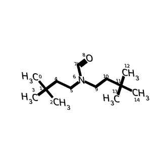 CC(C)(C)CCN([C]=O)CCC(C)(C)C